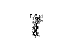 Cc1cccc(N2CCN(C(=O)Cn3nc(C(F)(F)F)c(Cl)c3C)CC2)c1